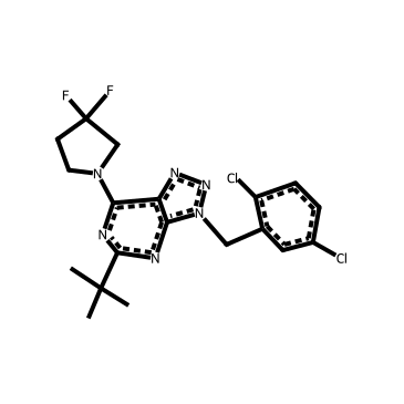 CC(C)(C)c1nc(N2CCC(F)(F)C2)c2nnn(Cc3cc(Cl)ccc3Cl)c2n1